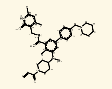 C=CC(=O)N1CCC(N(CC)c2cc(-c3ccc(CN4CCCCC4)cc3)cc(C(=O)NCc3c(C)cc(C)[nH]c3=O)c2C)CC1